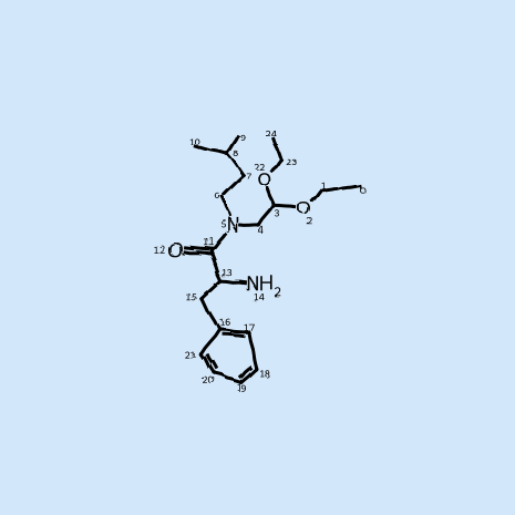 CCOC(CN(CCC(C)C)C(=O)C(N)Cc1ccccc1)OCC